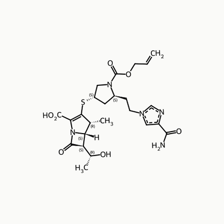 C=CCOC(=O)N1C[C@@H](SC2=C(C(=O)O)N3C(=O)[C@H]([C@@H](C)O)[C@H]3[C@H]2C)C[C@@H]1CCn1cnc(C(N)=O)c1